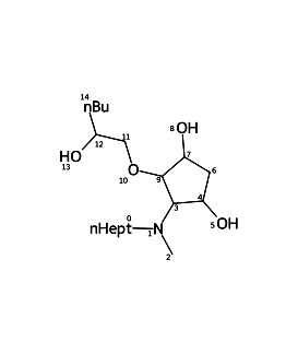 CCCCCCCN(C)C1C(O)CC(O)C1OCC(O)CCCC